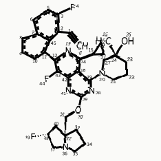 C#Cc1c(F)ccc2cccc(-c3nc(C4CC4)c4c(N5CCC[C@@](C)(O)C5)nc(OC[C@@]56CCCN5C[C@H](F)C6)nc4c3F)c12